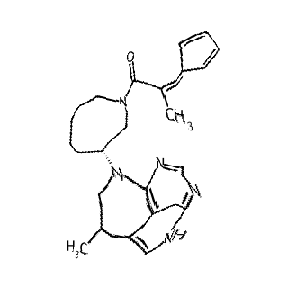 CC(C(=O)N1CCC[C@@H](N2CC(C)c3c[nH]c4ncnc2c34)C1)=C1C=CC=C1